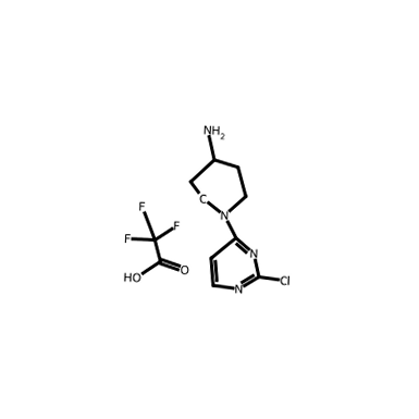 NC1CCN(c2ccnc(Cl)n2)CC1.O=C(O)C(F)(F)F